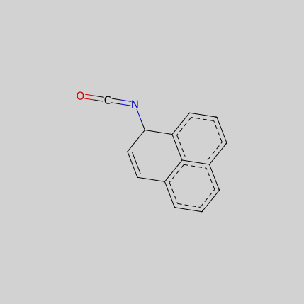 O=C=NC1C=Cc2cccc3cccc1c23